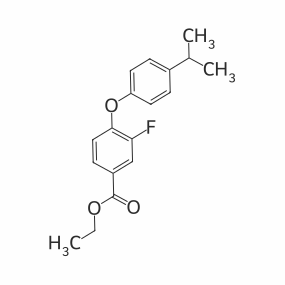 CCOC(=O)c1ccc(Oc2ccc(C(C)C)cc2)c(F)c1